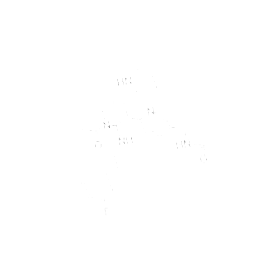 CC(=O)N1CC=C(C2C=CCCN2)C(c2ccc(CNC=O)cn2)=C1NCCc1cccc(F)c1